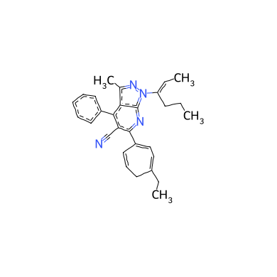 C/C=C(\CCC)n1nc(C)c2c(-c3ccccc3)c(C#N)c(C3=CC=C(CC)CC=C3)nc21